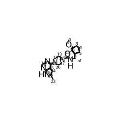 COc1cccc([C@H](C)NC(=O)N2CCN(c3ncnc4[nH]c(C)cc34)CC2)c1